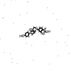 Cc1cc(N2CCCC3(CCN([C@H]4CC[C@H](O)CC4)C3=O)C2)ccc1N(C)C(=O)O